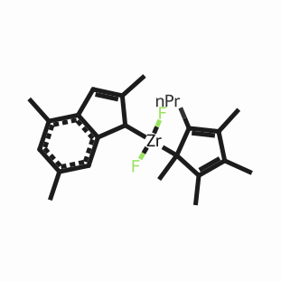 CCCC1=C(C)C(C)=C(C)[C]1(C)[Zr]([F])([F])[CH]1C(C)=Cc2c(C)cc(C)cc21